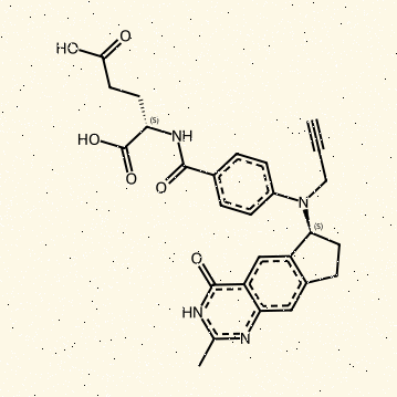 C#CCN(c1ccc(C(=O)N[C@@H](CCC(=O)O)C(=O)O)cc1)[C@H]1CCc2cc3nc(C)[nH]c(=O)c3cc21